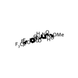 COC(=O)CNC(=O)c1ccc(C(=O)NS(=O)(=O)c2ccc(OCC(F)(F)C(F)(F)C(F)(F)F)cc2)cn1